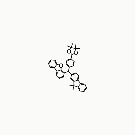 CC1(C)c2ccccc2-c2ccc(C(c3ccc(C4OC(C)(C)C(C)(C)O4)cc3)c3cccc4c3oc3ccccc34)cc21